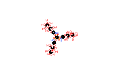 O=S(=O)(Nc1ccc(O[C@@H]2O[C@H](CO)[C@@H](O[C@@H]3O[C@H](CO)[C@@H](O)[C@H](O)[C@H]3O)[C@H](O)[C@H]2O)cc1)c1cc(S(=O)(=O)Nc2ccc(O[C@@H]3O[C@H](CO)[C@@H](O[C@@H]4O[C@H](CO)[C@@H](O)[C@H](O)[C@H]4O)[C@H](O)[C@H]3O)cc2)cc(S(=O)(=O)Nc2ccc(O[C@@H]3O[C@H](CO)[C@@H](O[C@@H]4O[C@H](CO)[C@@H](O)[C@H](O)[C@H]4O)[C@H](O)[C@H]3O)cc2)c1